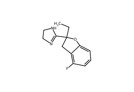 CCC1(C2=NCCN2)Cc2c(F)cccc2O1